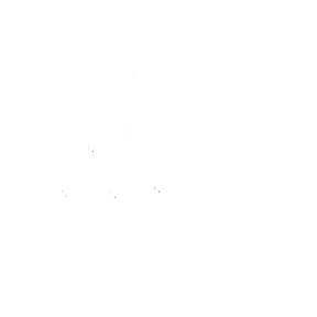 CN(C)c1nc(NC(=O)C2COc3ccccc3O2)c(C(=O)OC(C)(C)C)n1-c1ccccc1